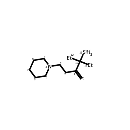 C=C(CCN1CCCCC1)C([SiH3])(CC)CC